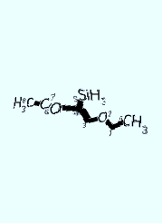 CCOC=C([SiH3])OCC